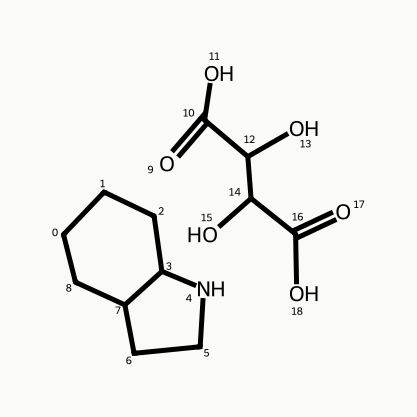 C1CCC2NCCC2C1.O=C(O)C(O)C(O)C(=O)O